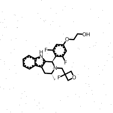 C[C@@H]1Cc2c([nH]c3ccccc23)[C@@H](c2c(F)cc(OCCO)cc2F)N1CC1(F)COC1